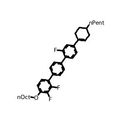 CCCCCCCCOc1ccc(-c2ccc(-c3ccc(C4=CCC(CCCCC)CC4)cc3F)cc2)c(F)c1F